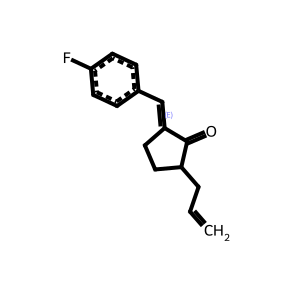 C=CCC1CC/C(=C\c2ccc(F)cc2)C1=O